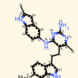 COc1ccc2c(CCc3c(C)nc(N)nc3Nc3ccc4[nH]c(C)cc4c3)c[nH]c2c1